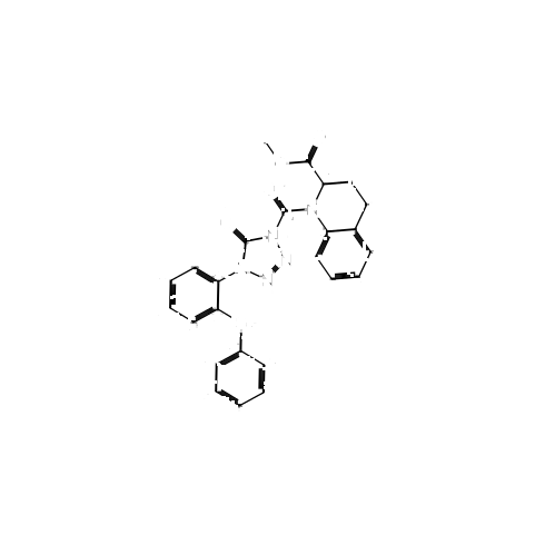 COC(=O)C1CCc2ccccc2N1C(=O)n1nnn(-c2ccccc2Oc2ccccc2)c1=O